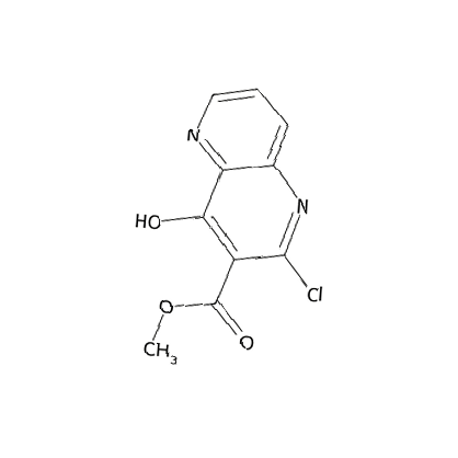 COC(=O)c1c(Cl)nc2cccnc2c1O